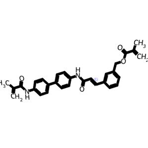 C=C(C)C(=O)Nc1ccc(-c2ccc(NC(=O)/C=C/c3cccc(COC(=O)C(=C)C)c3)cc2)cc1